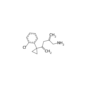 C=C(CN)CC(=C)C1(c2ccccc2Cl)CC1